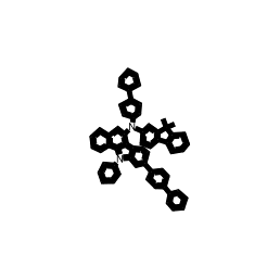 CC1(C)c2ccccc2-c2ccc(N(c3ccc(-c4ccccc4)cc3)c3cc4ccccc4c4c3c3ccc(-c5ccc(-c6ccccc6)cc5)cc3n4-c3ccccc3)cc21